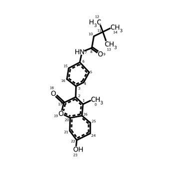 Cc1c(-c2ccc(NC(=O)CC(C)(C)C)cc2)c(=O)oc2cc(O)ccc12